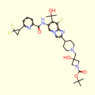 CC(C)(C)OC(=O)N1CC(O)(CN2CCC(c3cn4cc(NC(=O)c5cccc(C6CC6(F)F)n5)c(C(C)(C)O)c(F)c4n3)CC2)C1